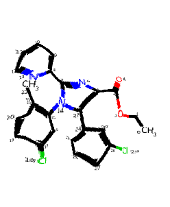 CCOC(=O)c1nc(-c2ccccn2)n(-c2cc(Cl)ccc2C)c1-c1cccc(Cl)c1